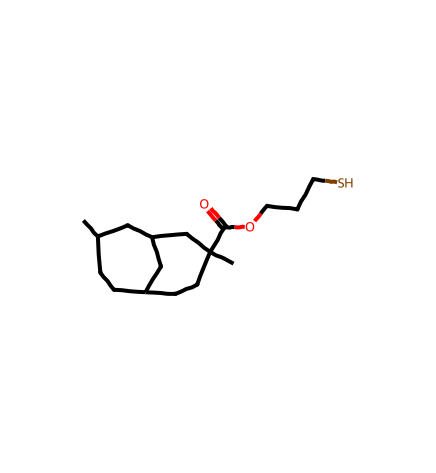 CC1CCC2CCC(C)(C(=O)OCCCS)CC(C1)C2